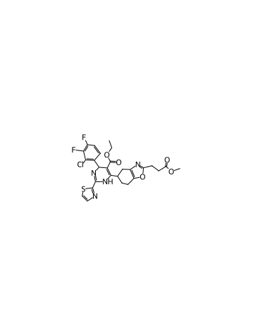 CCOC(=O)C1=C(C2CCc3oc(CCC(=O)OC)nc3C2)NC(c2nccs2)=NC1c1ccc(F)c(F)c1Cl